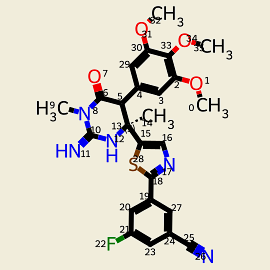 COc1cc(C2C(=O)N(C)C(=N)N[C@]2(C)c2cnc(-c3cc(F)cc(C#N)c3)s2)cc(OC)c1OC